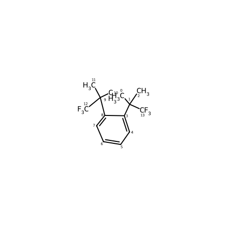 CC(C)(c1ccccc1C(C)(C)C(F)(F)F)C(F)(F)F